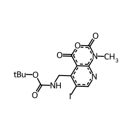 Cn1c(=O)oc(=O)c2c(CNC(=O)OC(C)(C)C)c(I)cnc21